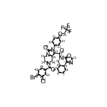 O=C(NCc1ccccc1-c1cocn1)c1c2n(c(=O)n1-c1ccc(OCC(F)(F)F)cc1)CCN(C(=O)c1ccc(Br)c(Cl)c1)C2